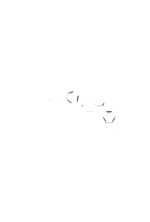 O=C(O)CCOc1cccc(C2(O)CCN(C(=O)c3ccc(Br)cc3)CC2)c1